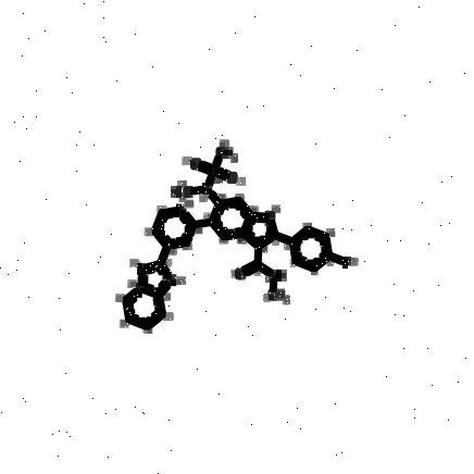 CNC(=O)c1c(-c2ccc(F)cc2)oc2cc(N(C)S(C)(=O)=O)c(-c3cc(-c4nc5ccccn5n4)ccn3)cc12